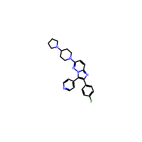 Fc1ccc(-c2nc3ccc(N4CCC(N5CCCC5)CC4)nn3c2-c2ccncc2)cc1